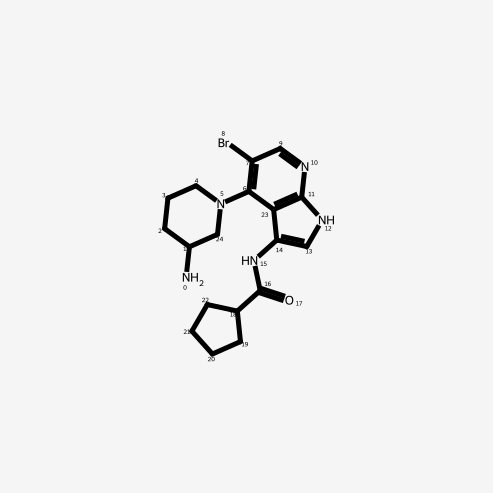 NC1CCCN(c2c(Br)cnc3[nH]cc(NC(=O)C4CCCC4)c23)C1